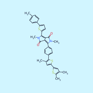 Cc1ccc(-c2ccc(C3=C4C(=O)N(C)C(c5ccc(-c6sc(-c7cc(C)c(C)s7)cc6C)cc5)=C4C(=O)N3C)s2)cc1